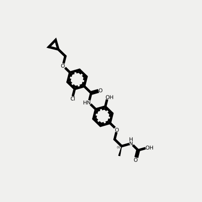 C[C@@H](COc1ccc(NC(=O)c2ccc(OCC3CC3)cc2Cl)c(O)c1)NC(=O)O